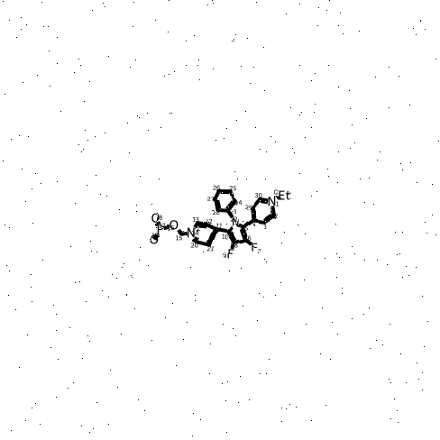 CC[n+]1ccc(-c2c(F)c(F)c(-c3cc[n+](COP(=O)=O)cc3)n2-c2ccccc2)cc1